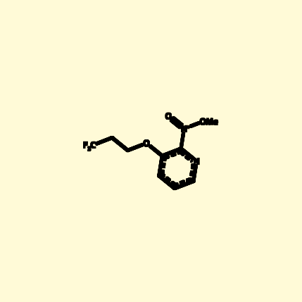 CO[N+](=O)c1ncccc1OCCC(F)(F)F